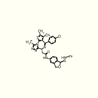 Cc1sc2c(c1C)C(c1ccc(Cl)cc1)=N[C@@H](CC(=O)Nc1ccc3c(c1)CO/C3=N/NC(C)C)c1nnc(C)n1-2